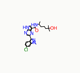 CC(CCCC(C)(C)O)NC(=O)c1c[nH]c2ncc(-c3nn(C)c4cc(Cl)ccc34)nc12